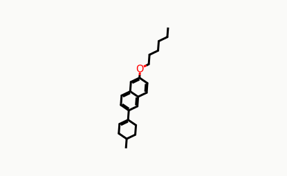 CCCCCCOc1ccc2cc(C3=CCC(C)CC3)ccc2c1